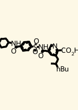 CCCCC(C)Cc1cc(C(=O)NS(=O)(=O)c2ccc(C(=O)NC3CCCCC3)cc2)cnc1C(=O)O